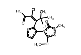 COc1nn(C)c(=O)n1-c1ccsc1C(=C(Cl)C(=O)O)C(C)(C)C